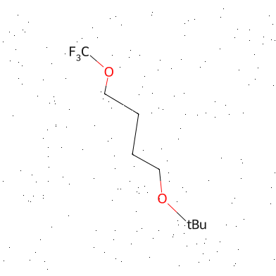 CC(C)(C)OCCCCOC(F)(F)F